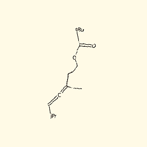 CC(=C=CC(C)C)CCOC(=O)C(C)(C)C